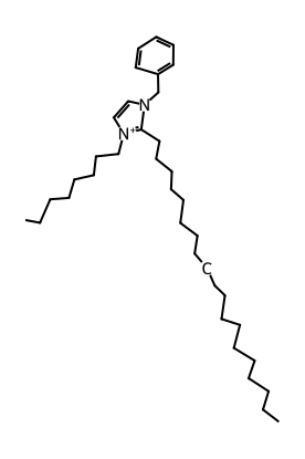 CCCCCCCCCCCCCCCCCCCc1n(Cc2ccccc2)cc[n+]1CCCCCCCC